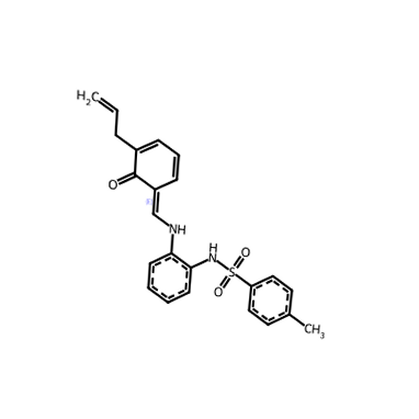 C=CCC1=CC=C/C(=C\Nc2ccccc2NS(=O)(=O)c2ccc(C)cc2)C1=O